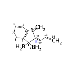 BC1(B)C2=C(C=CCC2)C(=C)/C1=C\C=C